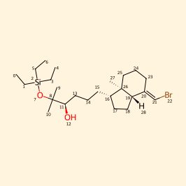 CC[Si](CC)(CC)OC(C)(C)[C@H](O)CCC[C@H]1CC[C@H]2/C(=C/Br)CCC[C@]12C